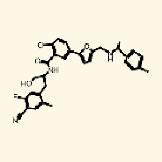 Cc1ccc(C(C)NCc2ccc(-c3ccc(Cl)c(C(=O)NC(CO)Cc4cc(F)c(C#N)cc4C)c3)o2)cc1